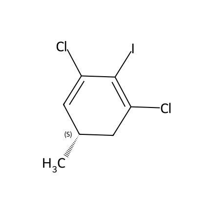 C[C@@H]1C=C(Cl)C(I)=C(Cl)C1